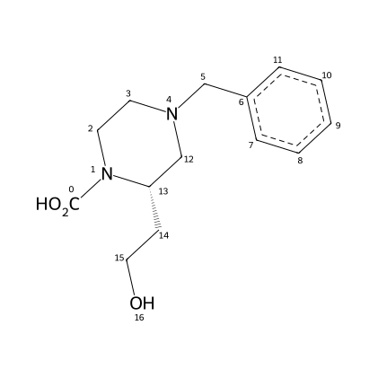 O=C(O)N1CCN(Cc2ccccc2)C[C@@H]1CCO